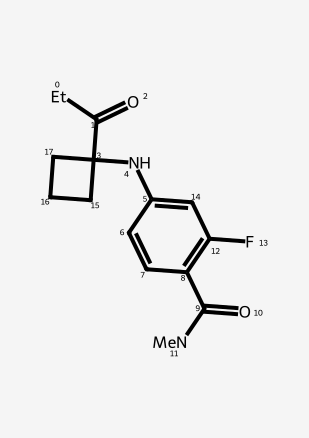 CCC(=O)C1(Nc2ccc(C(=O)NC)c(F)c2)CCC1